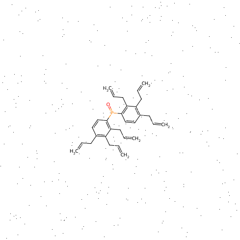 C=CCc1ccc([P](=O)c2ccc(CC=C)c(CC=C)c2CC=C)c(CC=C)c1CC=C